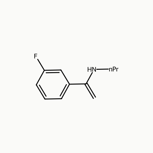 C=C(NCCC)c1cccc(F)c1